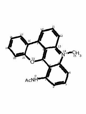 CC(=O)Nc1cccc2c1c1c3c(cccc3[n+]2C)-c2ccccc2O1